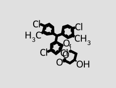 Cc1cc(C(c2ccc(Cl)c(C)c2)c2cc(Cl)cc(Cl)c2OC[C@@H]2C[C@@H](O)CC(=O)O2)ccc1Cl